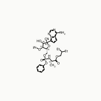 CCC(CC)COC(=O)[C@H](C)NP(=O)(OC[C@H]1O[C@@](C#N)(c2ccc3c(N)ncnn23)[C@H](O)[C@@H]1OC(C)C)Oc1ccccc1